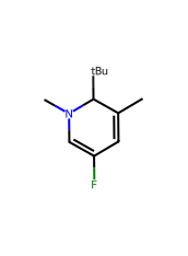 CC1=CC(F)=CN(C)C1C(C)(C)C